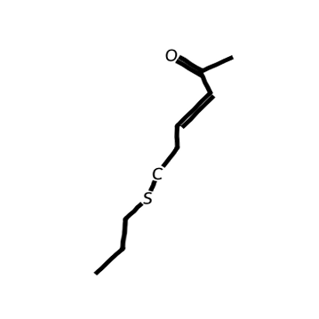 CCCSCC/C=C/C(C)=O